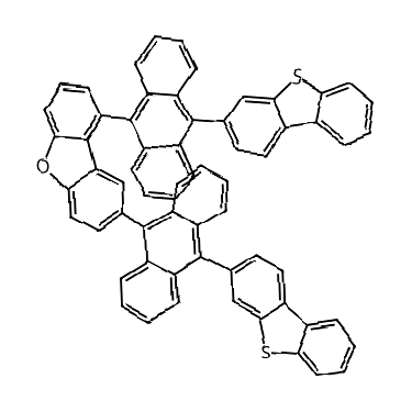 c1cc(-c2c3ccccc3c(-c3ccc4c(c3)sc3ccccc34)c3ccccc23)c2c(c1)oc1ccc(-c3c4ccccc4c(-c4ccc5c(c4)sc4ccccc45)c4ccccc34)cc12